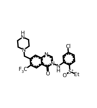 CC[S+]([O-])c1ccc(Cl)cc1Nn1cnc2cc(CN3CCNCC3)c(C(F)(F)F)cc2c1=O